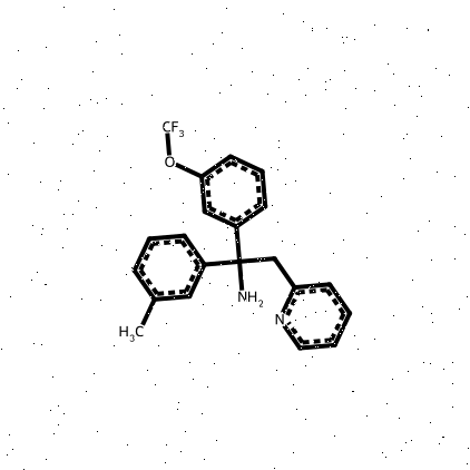 Cc1cccc(C(N)(Cc2ccccn2)c2cccc(OC(F)(F)F)c2)c1